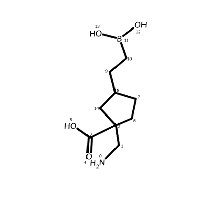 NCC1(C(=O)O)CCC(CCB(O)O)C1